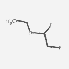 C[CH]OC(F)CF